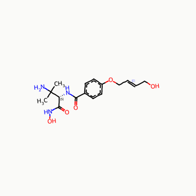 CC(C)(N)[C@H](NC(=O)c1ccc(OC/C=C/CO)cc1)C(=O)NO